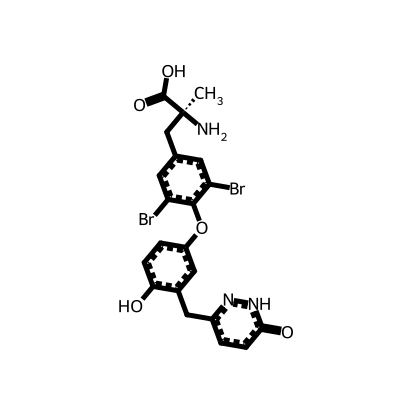 C[C@](N)(Cc1cc(Br)c(Oc2ccc(O)c(Cc3ccc(=O)[nH]n3)c2)c(Br)c1)C(=O)O